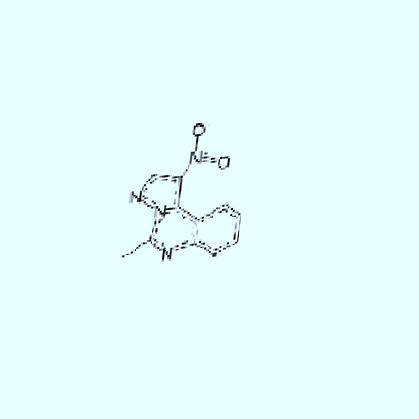 Cc1nc2ccccc2c2c([N+](=O)[O-])cnn12